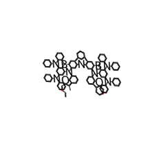 C=C/C=C\c1oc2c(N3c4cc5c(cc4B4c6ccccc6N(c6ccccc6)c6cc(N(c7ccccc7)c7ccccc7)cc3c64)c3cccc4c6cc7c(cc6n5c34)N(c3cccc4c3oc3ccccc34)c3cc(N(c4ccccc4)c4ccccc4)cc4c3B7c3ccccc3N4c3ccccc3)cccc2c1C